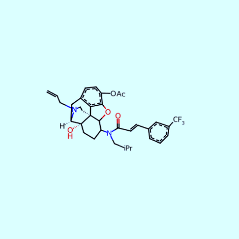 C=CCN1CC[C@]23c4c5ccc(OC(C)=O)c4OC2C(N(CC(C)C)C(=O)/C=C/c2cccc(C(F)(F)F)c2)CC[C@@]3(O)[C@H]1C5